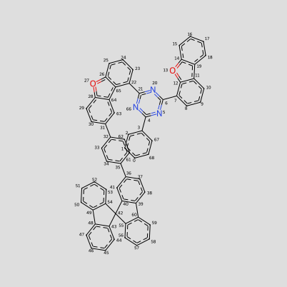 c1ccc(-c2nc(-c3cccc4c3oc3ccccc34)nc(-c3cccc4oc5ccc(-c6ccc(-c7ccc8c(c7)C7(c9ccccc9-c9ccccc97)c7ccccc7-8)cc6)cc5c34)n2)cc1